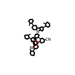 Cc1ccccc1-c1ccc2c(c1)c1cc(-c3ccccc3C)ccc1n2-c1ccc(-c2ccc(C#N)cc2C(F)(F)F)c(-c2cc(C#N)ccc2-n2c3ccc(-c4ccccc4C)cc3c3cc(-c4ccccc4C)ccc32)c1